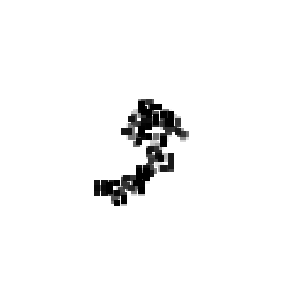 Cc1cccc(C)c1OCc1noc(C2CC2)c1COc1ccc(C2CCN(c3ccc(C(=O)O)cn3)C2)c(Cl)c1